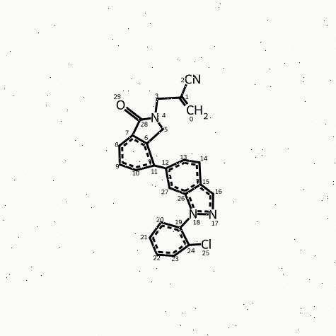 C=C(C#N)CN1Cc2c(cccc2-c2ccc3cnn(-c4ccccc4Cl)c3c2)C1=O